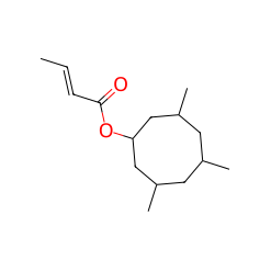 CC=CC(=O)OC1CC(C)CC(C)CC(C)C1